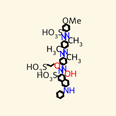 COc1ccc(N=Nc2cc(C)c(N=Nc3cc(OCCCS(=O)(=O)O)c(N=Nc4c(S(=O)(=O)O)cc5cc(Nc6ccccc6)ccc5c4O)cc3C)cc2C)c(S(=O)(=O)O)c1